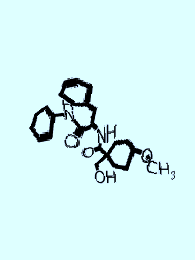 COC1CCC(CO)(C(=O)NC(Cc2ccccc2)C(=O)Nc2ccccc2)CC1